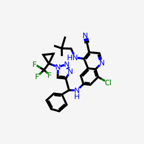 CC(C)(C)CNc1c(C#N)cnc2c(Cl)cc(NC(c3ccccc3)c3cn(C4(C(F)(F)F)CC4)nn3)cc12